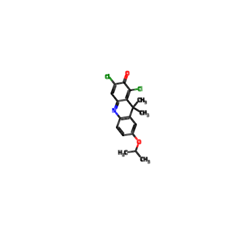 CC(C)Oc1ccc2c(c1)C(C)(C)C1=C(Cl)C(=O)C(Cl)=CC1=N2